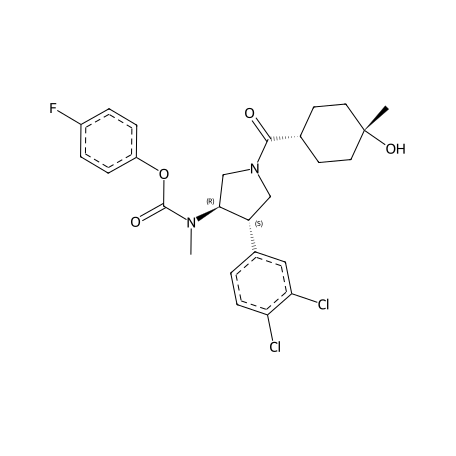 CN(C(=O)Oc1ccc(F)cc1)[C@H]1CN(C(=O)[C@H]2CC[C@@](C)(O)CC2)C[C@@H]1c1ccc(Cl)c(Cl)c1